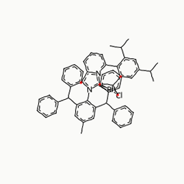 Cc1cc(C(c2ccccc2)c2ccccc2)c(-n2cc3cccc(-c4c(C(C)C)cc(C(C)C)cc4C(C)C)n3[c]2=[Rh][Cl])c(C(c2ccccc2)c2ccccc2)c1